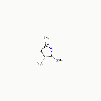 COC1=N[C@@H](C)C[C@H]1C